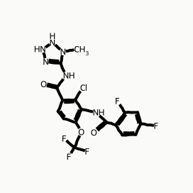 CN1NNN=C1NC(=O)c1ccc(OC(F)(F)F)c(NC(=O)c2ccc(F)cc2F)c1Cl